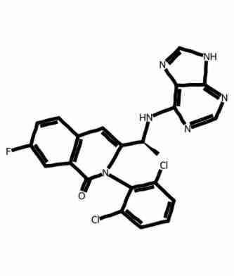 C[C@H](Nc1ncnc2[nH]cnc12)c1cc2ccc(F)cc2c(=O)n1-c1c(Cl)cccc1Cl